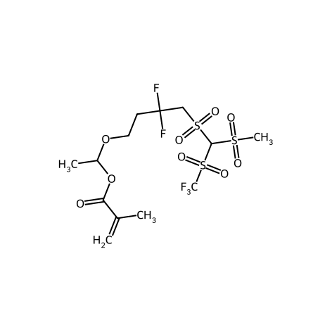 C=C(C)C(=O)OC(C)OCCC(F)(F)CS(=O)(=O)C(S(C)(=O)=O)S(=O)(=O)C(F)(F)F